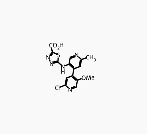 COc1cnc(Cl)cc1-c1cc(C)ncc1Nc1nnc(C(=O)O)s1